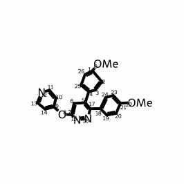 COc1ccc(-c2cc(Oc3ccncc3)nnc2-c2ccc(OC)cc2)cc1